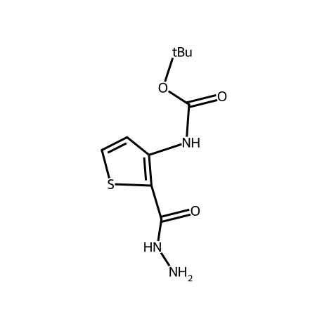 CC(C)(C)OC(=O)Nc1ccsc1C(=O)NN